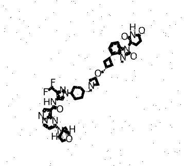 Cn1c(=O)n(C2CCC(=O)NC2=O)c2cccc([C@H]3C[C@@H](COC4CN(C[C@H]5CC[C@H](n6cc(NC(=O)c7cnn8ccc(N9C[C@H]%10C[C@@H]9CO%10)nc78)c(C(F)F)n6)CC5)C4)C3)c21